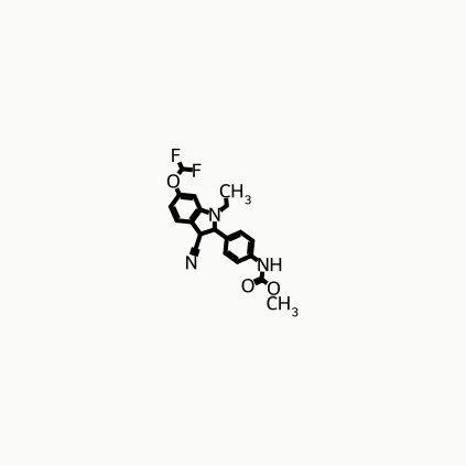 CCN1c2cc(OC(F)F)ccc2C(C#N)C1c1ccc(NC(=O)OC)cc1